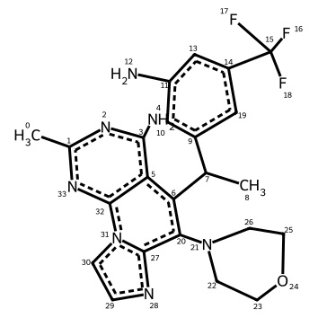 Cc1nc(N)c2c(C(C)c3cc(N)cc(C(F)(F)F)c3)c(N3CCOCC3)c3nccn3c2n1